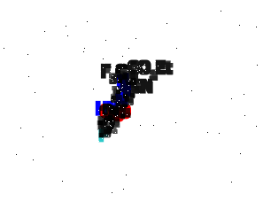 CCOC(=O)c1cc(C#N)c(N2CCN(C(=O)NS(=O)(=O)c3ccc(F)cc3)CC2)nc1C(F)(F)F